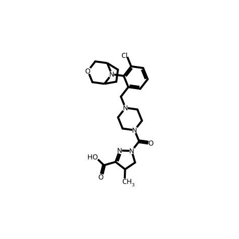 CC1CN(C(=O)N2CCN(Cc3cccc(Cl)c3N3C4CCC3COC4)CC2)N=C1C(=O)O